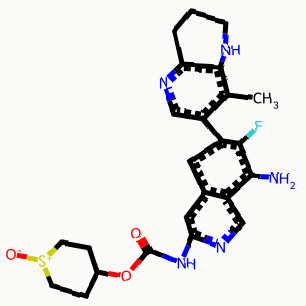 Cc1c(-c2cc3cc(NC(=O)OC4CC[S+]([O-])CC4)ncc3c(N)c2F)cnc2c1NCCC2